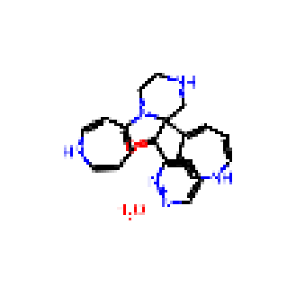 O.O=C(c1cccnn1)C1(C2=CC=CNC=C2)CNCCN1C1=CC=CNC=C1